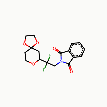 O=C1c2ccccc2C(=O)N1CC(F)(F)C1CC2(CCO1)OCCO2